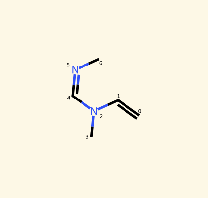 C=CN(C)/C=N\C